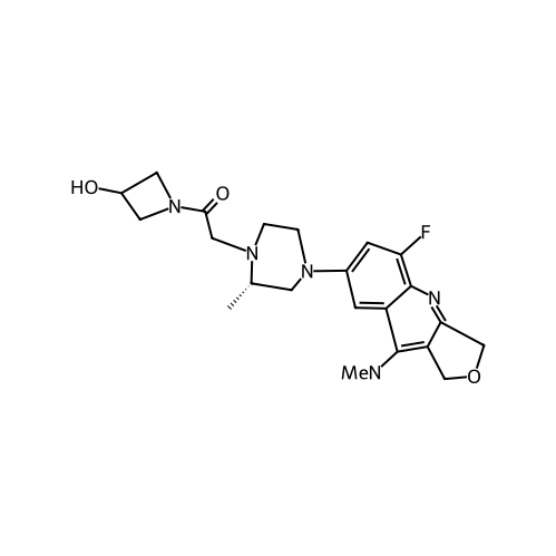 CNc1c2c(nc3c(F)cc(N4CCN(CC(=O)N5CC(O)C5)[C@@H](C)C4)cc13)COC2